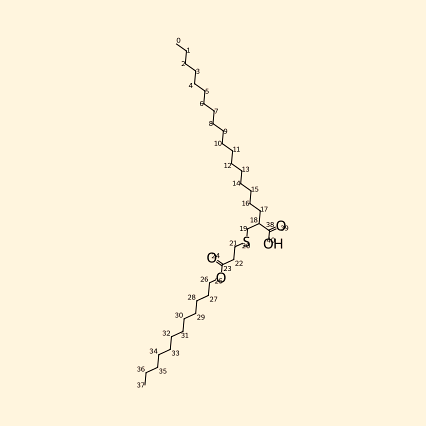 CCCCCCCCCCCCCCCCCCC(CSCCC(=O)OCCCCCCCCCCCC)C(=O)O